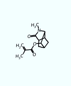 C=C(C)C(=O)OC1C2CC3C(=O)N(C)C1C3C2